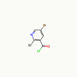 CCc1ncc(Br)cc1C(=O)Cl